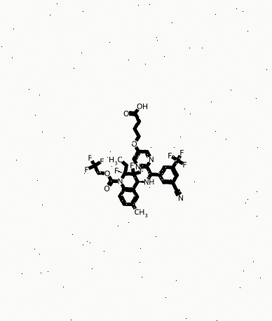 CC[C@]1(F)N(C(=O)OCC(F)(F)F)c2ccc(C)cc2[C@H](NC(c2cc(C#N)cc(C(F)(F)F)c2)c2ncc(OCCCC(=O)O)cn2)C1(F)F